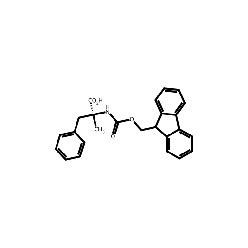 C[C@@](Cc1ccccc1)(NC(=O)OCC1c2ccccc2-c2ccccc21)C(=O)O